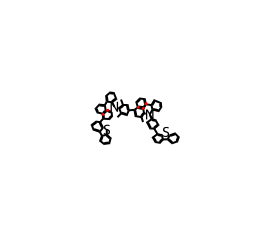 Cc1cc(-c2cc(C)c(N(c3ccc(-c4cccc5c4sc4ccccc45)cc3)c3ccccc3-c3ccccc3)c(C)c2)cc(C)c1N(c1ccc(-c2cccc3c2sc2ccccc23)cc1)c1ccccc1-c1ccccc1